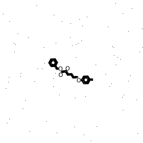 Cc1ccc(OCCCCC(=O)C(=O)OCc2ccccc2)cc1